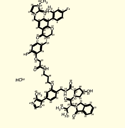 Cc1cc(F)ccc1-c1cc(Cn2ccn(C)c2=N)cc2c1OC[C@H](Cc1ccc(F)c(OCC(=O)NCCCOc3cc(-c4scnc4C)ccc3CNC(=O)[C@@H]3C[C@@H](O)CN3C(=O)[C@H](C(C)C)N3Cc4ccccc4C3=O)c1)C2=O.Cl